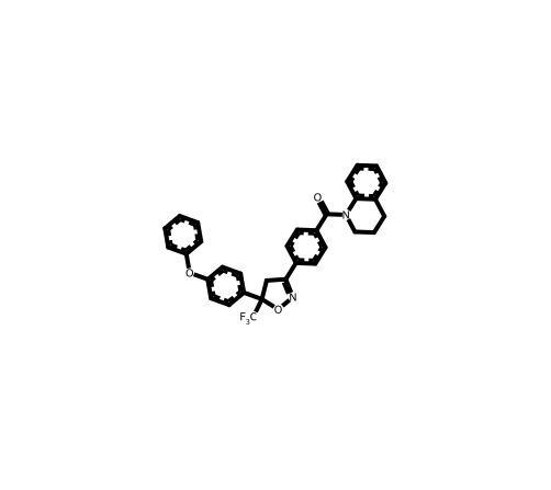 O=C(c1ccc(C2=NOC(c3ccc(Oc4ccccc4)cc3)(C(F)(F)F)C2)cc1)N1CCCc2ccccc21